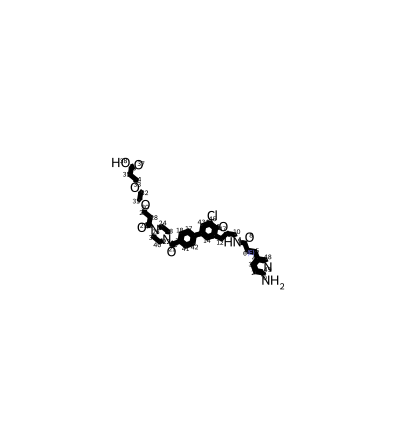 Nc1ccc(/C=C/C(=O)NCC2Cc3cc(-c4ccc(C(=O)N5CCN(C(=O)CCOCCOCCC(=O)O)CC5)cc4)cc(Cl)c3O2)cn1